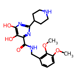 COc1cccc(CNC(=O)c2nc(C3CCNCC3)nc(O)c2O)c1OC